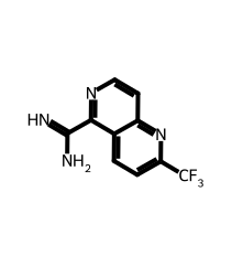 N=C(N)c1nccc2nc(C(F)(F)F)ccc12